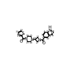 O=C(c1ccc2[nH]ncc2c1)N1CC(N2CCN(C(=O)c3nccs3)CC2)C1